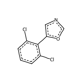 Clc1cccc(Cl)c1-c1cnco1